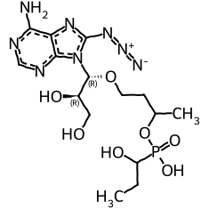 CCC(O)P(=O)(O)OC(C)CCO[C@H]([C@H](O)CO)n1c(N=[N+]=[N-])nc2c(N)ncnc21